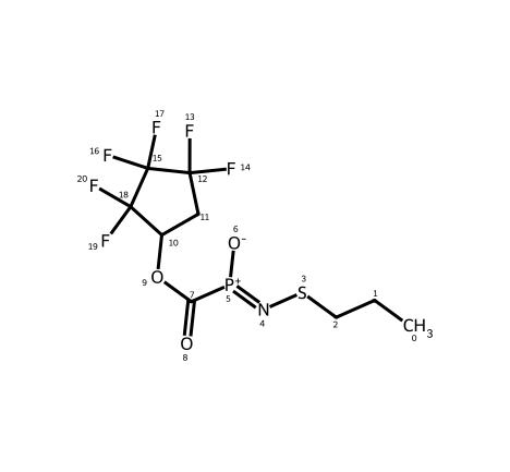 CCCS/N=[P+](\[O-])C(=O)OC1CC(F)(F)C(F)(F)C1(F)F